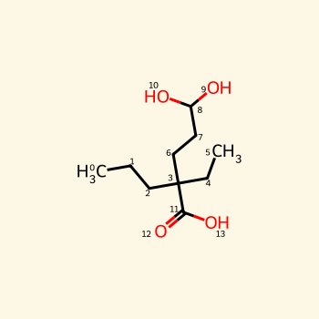 CCCC(CC)(CCC(O)O)C(=O)O